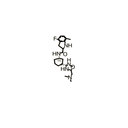 Cc1ccc(F)c2c1NC(C(=O)N[C@H]1CCC[C@@H](C3NOC(CN(C)C)N3)C1)C2